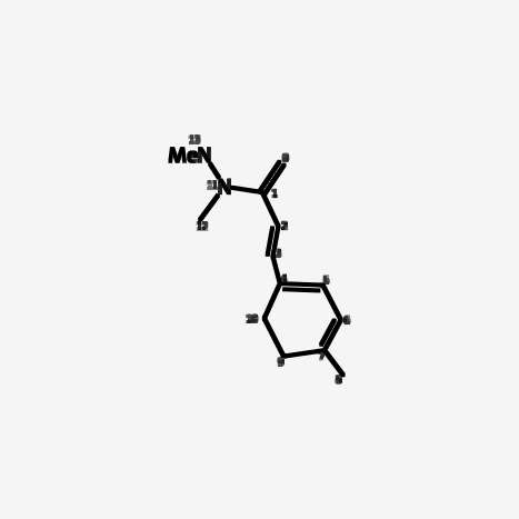 C=C(/C=C/C1=CC=C(C)CC1)N(C)NC